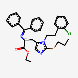 CCCSc1ncc(C[C@H](N=C(c2ccccc2)c2ccccc2)C(=O)OCC)n1CCc1ccccc1Cl